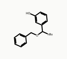 CCCCC(OCc1ccccc1)c1cccc(O)c1